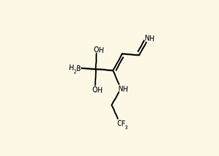 BC(O)(O)/C(=C/C=N)NCC(F)(F)F